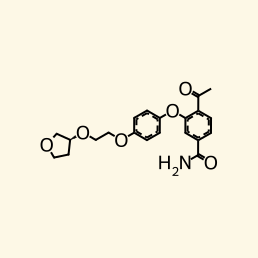 CC(=O)c1ccc(C(N)=O)cc1Oc1ccc(OCCO[C@H]2CCOC2)cc1